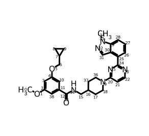 COc1cc(OCC2CC2)cc(C(=O)NCC2CCN(c3ccnc(-c4cccc5c4cnn5C)n3)CC2)c1